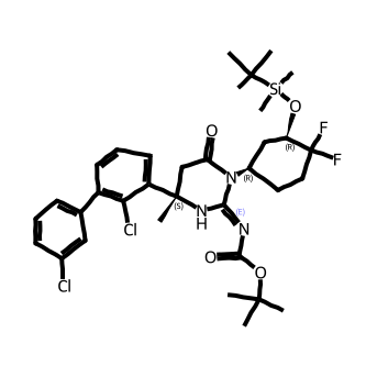 CC(C)(C)OC(=O)/N=C1\N[C@](C)(c2cccc(-c3cccc(Cl)c3)c2Cl)CC(=O)N1[C@@H]1CCC(F)(F)[C@H](O[Si](C)(C)C(C)(C)C)C1